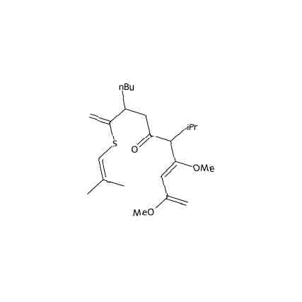 C=C(/C=C(\OC)C(C(=O)CC(CCCC)C(=C)SC=C(C)C)C(C)C)OC